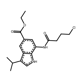 CCOC(=O)c1cc(NC(=O)CCCCl)c2[nH]cc(C(C)C)c2c1